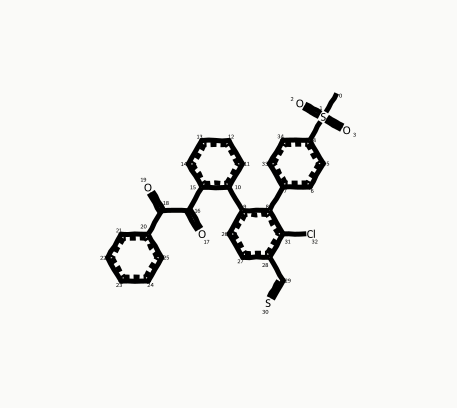 CS(=O)(=O)c1ccc(-c2c(-c3ccccc3C(=O)C(=O)c3ccccc3)ccc(C=S)c2Cl)cc1